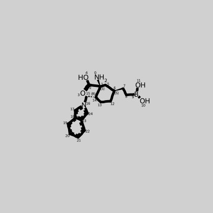 N[C@@]1(C(=O)O)C[C@@H](CCB(O)O)CC[C@@H]1Cn1cc2ccccc2c1